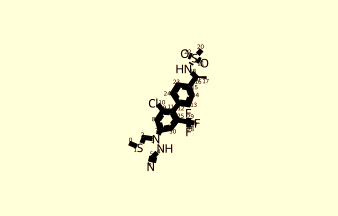 CSCN(NC#N)c1cc(Cl)c(-c2ccc([C@H](C)NS(C)(=O)=O)cc2)c(C(F)(F)F)c1